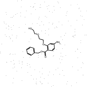 Nc1ccc(C(=O)OCc2ccccc2)c(OCCOCCO)c1